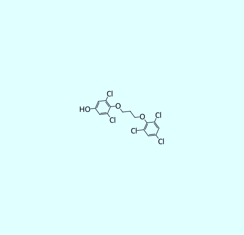 Oc1cc(Cl)c(OCCCOc2c(Cl)cc(Cl)cc2Cl)c(Cl)c1